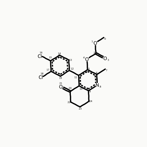 COC(=O)Oc1c(C)nc2c(c1-c1ccc(Cl)c(Cl)c1)C(=O)CCC2